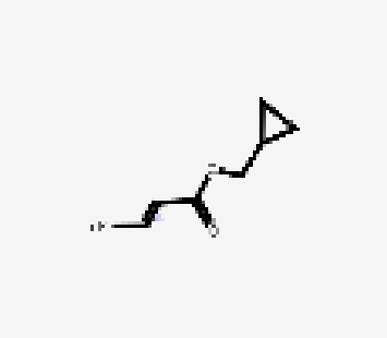 CCC/C=C/C(=O)OCC1CC1